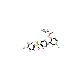 C[C@H](Oc1ccc(Cl)cc1-c1ccc(S(=O)(=O)c2ccc(F)cc2)cc1)C(=O)O